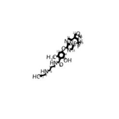 C#CCNCCCNC(=O)c1c(C)cc(Oc2nccn3c(-c4conc4C(F)(F)F)cnc23)cc1O